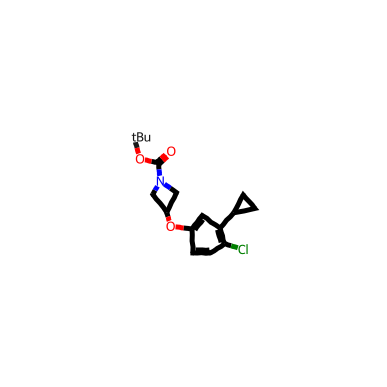 CC(C)(C)OC(=O)N1CC(Oc2ccc(Cl)c(C3CC3)c2)C1